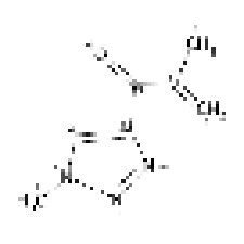 C=C(C)C(=O)c1cn(C)nn1